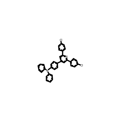 Clc1ccc(-c2cc(-c3ccc(N(c4ccccc4)c4ccccc4)cc3)cc(-c3ccc(Cl)cc3)n2)cc1